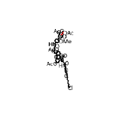 COc1cc(NC(=O)CCN(C)Cc2c(OC(C)=O)ccc3c2Oc2cc(OC(C)=O)ccc2C32OC(=O)c3cc(C(=O)NCCOCCOCCCCCCCl)ccc32)ccc1N(CC(=O)OCOC(C)=O)CC(=O)OCOC(C)=O